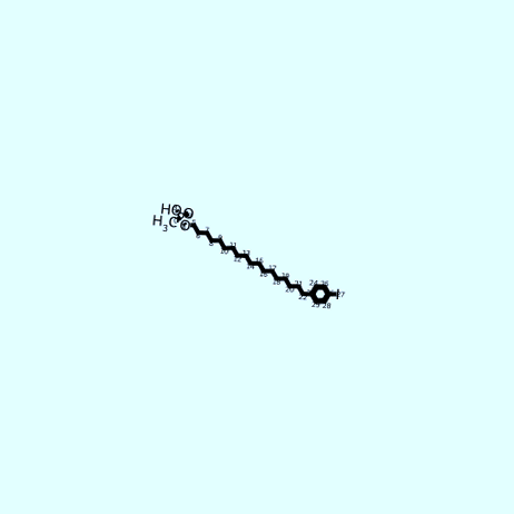 CP(=O)(O)OCCCCCCCCCCCCCCCCCCc1ccc(I)cc1